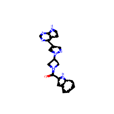 O=C(c1cc2ccccc2[nH]1)N1C[C](n2cc(-c3ncnc4[nH]ccc34)cn2)C1